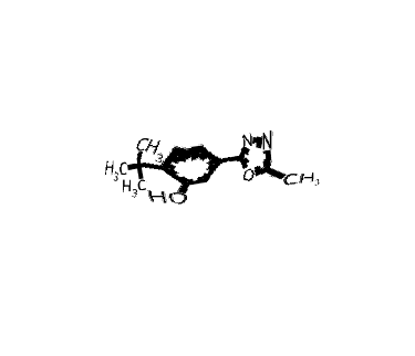 Cc1nnc(-c2ccc(C(C)(C)C)c(O)c2)o1